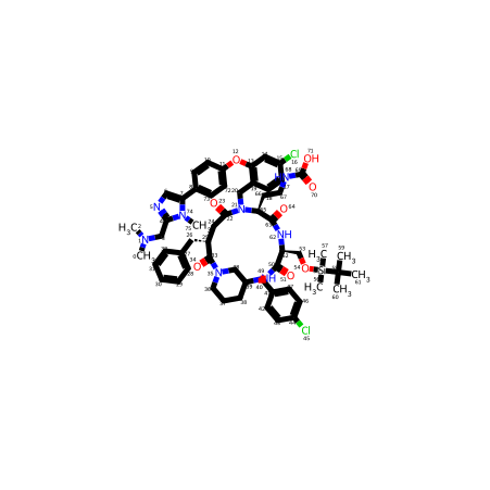 CN(C)Cc1ncc(-c2ccc(Oc3cc(Cl)ccc3CN3C(=O)C[C@@H](Cc4ccccc4)C(=O)N4CCC[C@@](Cc5ccc(Cl)cc5)(C4)NC(=O)[C@H](CO[Si](C)(C)C(C)(C)C)NC(=O)[C@@H]3CCNC(=O)O)cc2)n1C